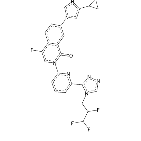 O=c1c2cc(-n3cnc(C4CC4)c3)ccc2c(F)cn1-c1cccc(-c2nncn2CC(F)C(F)F)n1